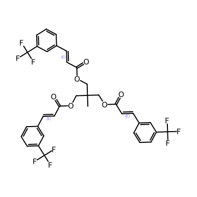 CC(COC(=O)/C=C/c1cccc(C(F)(F)F)c1)(COC(=O)/C=C/c1cccc(C(F)(F)F)c1)COC(=O)/C=C/c1cccc(C(F)(F)F)c1